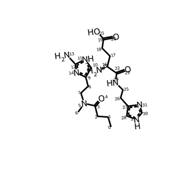 CCCC(=O)N(C)CCc1c[nH]c(N)n1.N[C@@H](CCC(=O)O)C(=O)NCCc1c[nH]cn1